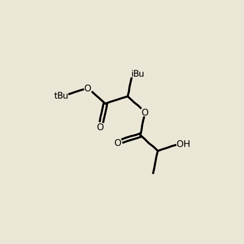 CCC(C)C(OC(=O)C(C)O)C(=O)OC(C)(C)C